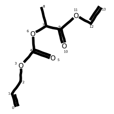 C=CCOC(=O)OC(C)C(=O)OC=C